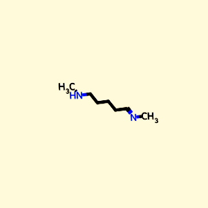 C/N=C/CCCCNC